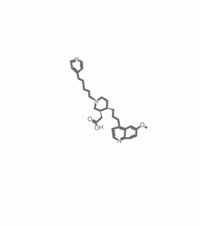 COc1ccc2nccc(CCC[C@@H]3CCN(CCCCCc4ccncc4)C[C@@H]3CC(=O)O)c2c1